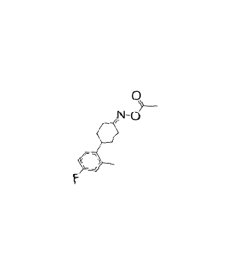 CC(=O)ON=C1CCC(c2ccc(F)cc2C)CC1